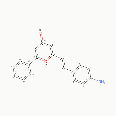 Nc1ccc(/C=C/c2cc(=O)cc(-c3ccccc3)o2)cc1